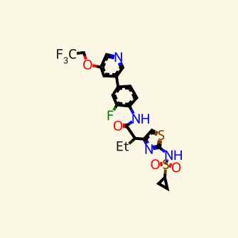 CCC(C(=O)Nc1ccc(-c2cncc(OCC(F)(F)F)c2)cc1F)c1csc(NS(=O)(=O)C2CC2)n1